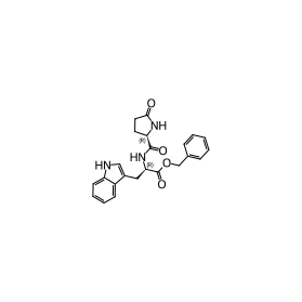 O=C1CC[C@H](C(=O)N[C@H](Cc2c[nH]c3ccccc23)C(=O)OCc2ccccc2)N1